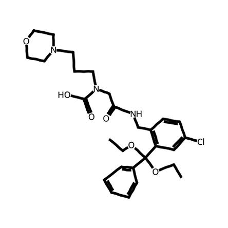 CCOC(OCC)(c1ccccc1)c1cc(Cl)ccc1CNC(=O)CN(CCCN1CCOCC1)C(=O)O